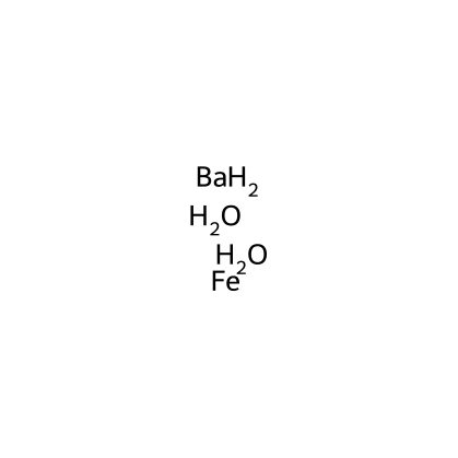 O.O.[BaH2].[Fe]